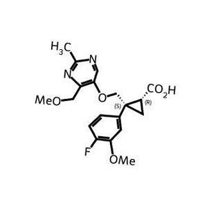 COCc1nc(C)ncc1OC[C@@]1(c2ccc(F)c(OC)c2)C[C@H]1C(=O)O